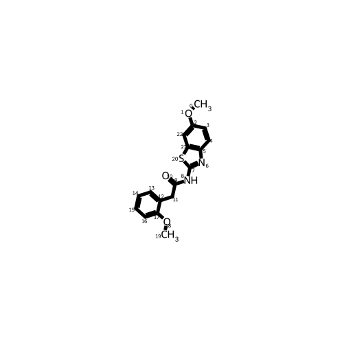 COc1ccc2nc(NC(=O)Cc3ccccc3OC)sc2c1